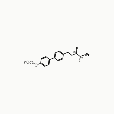 CCCCCCCCOc1ccc(-c2ccc(CC[C@@H](F)[C@H](F)CCC)cc2)cc1